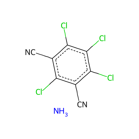 N.N#Cc1c(Cl)c(Cl)c(Cl)c(C#N)c1Cl